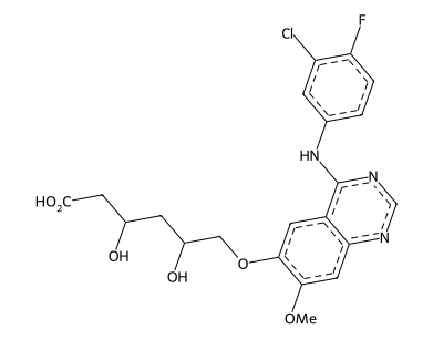 COc1cc2ncnc(Nc3ccc(F)c(Cl)c3)c2cc1OCC(O)CC(O)CC(=O)O